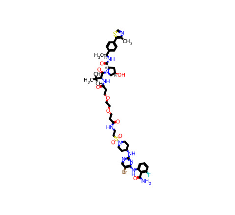 Cc1ncsc1-c1ccc([C@H](C)NC(=O)[C@@H]2C[C@@H](O)CN2C(=O)[C@@H](NC(=O)CCOCCOCCC(=O)NCCS(=O)(=O)N2CCC(Nc3ncc(Br)c(Nc4cccc(F)c4C(N)=O)n3)CC2)C(C)(C)C)cc1